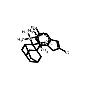 CCC1=Cc2cc(C(C)(C)C)cc(C34CC5C[C](CC(C5)C3)C43[Si](C)(C)[Si](C)(C)[Si]3(C)C)c2C1